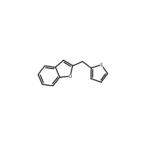 c1csc(Cc2cc3ccccc3o2)c1